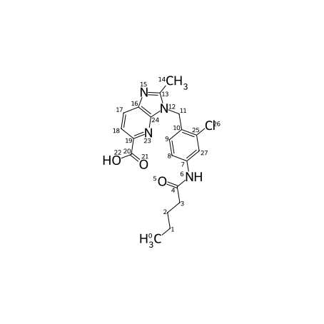 CCCCC(=O)Nc1ccc(Cn2c(C)nc3ccc(C(=O)O)nc32)c(Cl)c1